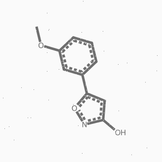 COc1cccc(-c2cc(O)no2)c1